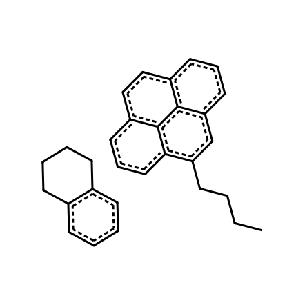 CCCCc1cc2cccc3ccc4cccc1c4c32.c1ccc2c(c1)CCCC2